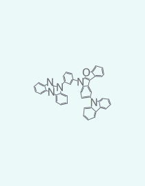 c1cc(-n2c3ccc(-n4c5ccccc5c5ccccc54)cc3c3c4ccccc4oc32)cc(-n2c3ccccc3n3c4ccccc4nc23)c1